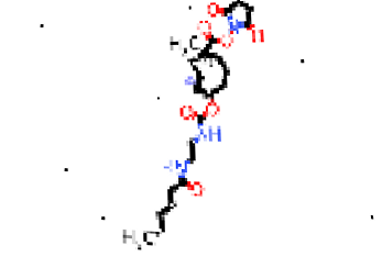 CCCCCC(=O)NCCNC(=O)O[C@H]1/C=C/C[C@@](C)(C(=O)ON2C(=O)CCC2=O)CCC1